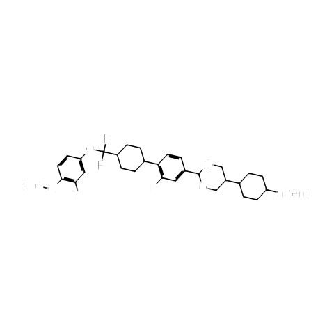 CCCCCC1CCC(C2COC(c3ccc(C4CCC(C(F)(F)Oc5ccc(OC(F)(F)F)c(F)c5)CC4)c(F)c3)OC2)CC1